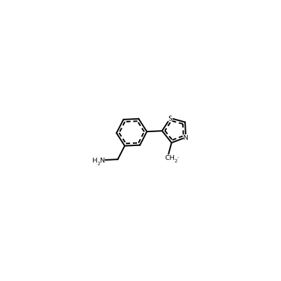 [CH2]c1ncsc1-c1cccc(CN)c1